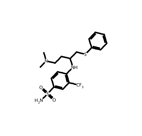 CN(C)CCC(CSc1ccccc1)Nc1ccc(S(N)(=O)=O)cc1C(F)(F)F